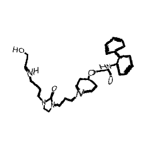 O=C(Nc1ccccc1-c1ccccc1)OC1CCN(CCCN2CCN(CCCNCCO)C2=O)CC1